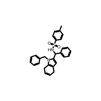 Cc1ccc(S(=O)(=O)NC(c2ccccc2)c2cc3c(n2Cc2ccccc2)CC=CC3)cc1